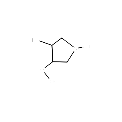 CN1CC(N)C(OC(F)(F)F)C1